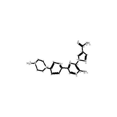 CN1CCN(c2ccc(-c3cnc(N)c(-n4cc(C(N)=O)cn4)n3)nc2)CC1